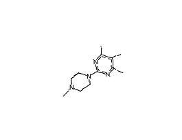 Cc1nc(N2CCN(C)CC2)nc(C)c1C